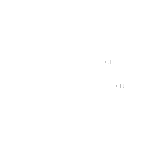 N#CC(O)C=Cc1ccccc1